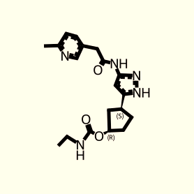 CCNC(=O)O[C@@H]1CC[C@H](c2cc(NC(=O)Cc3ccc(C)nc3)n[nH]2)C1